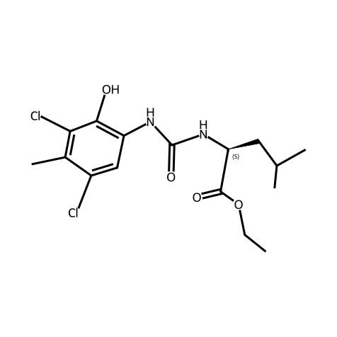 CCOC(=O)[C@H](CC(C)C)NC(=O)Nc1cc(Cl)c(C)c(Cl)c1O